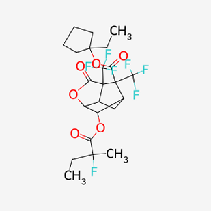 CCC1(OC(=O)C2(C(F)(F)F)C3CC4C(OC(=O)C42C(F)(F)F)C3OC(=O)C(C)(F)CC)CCCC1